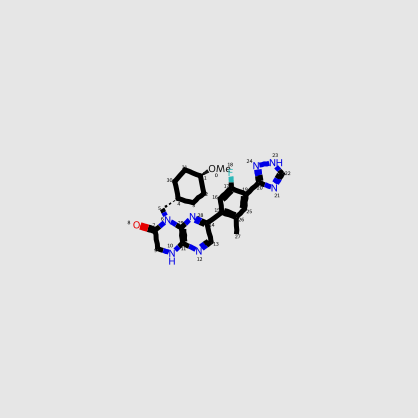 CO[C@H]1CC[C@H](CN2C(=O)CNc3ncc(-c4cc(F)c(-c5nc[nH]n5)cc4C)nc32)CC1